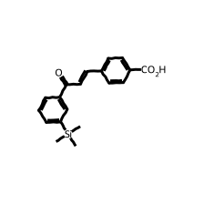 C[Si](C)(C)c1cccc(C(=O)C=Cc2ccc(C(=O)O)cc2)c1